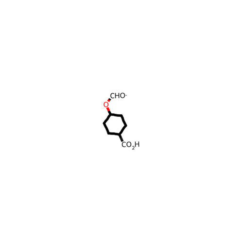 O=[C]OC1CCC(C(=O)O)CC1